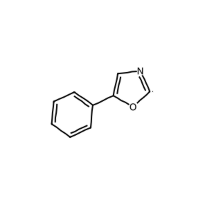 [c]1ncc(-c2ccccc2)o1